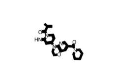 C=C(C)C(=O)n1ccc(N2CCOc3cc(C(=O)N4CCCCC4)cnc32)cc1=N